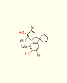 CC(C)(C)c1cc(C2(c3cc(Br)c(O)c(C(C)(C)C)c3)CCCCC2)cc(Br)c1O